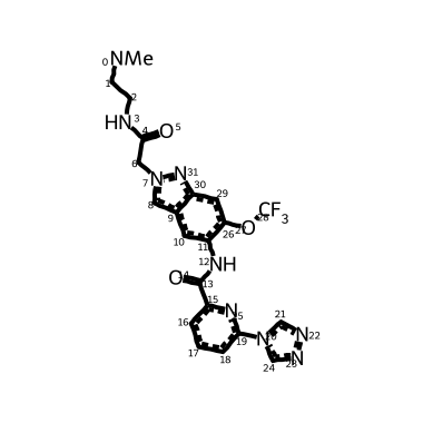 CNCCNC(=O)Cn1cc2cc(NC(=O)c3cccc(-n4cnnc4)n3)c(OC(F)(F)F)cc2n1